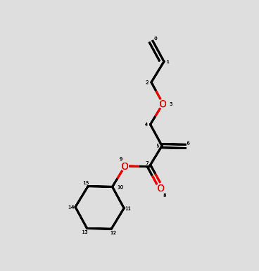 C=CCOCC(=C)C(=O)OC1CCCCC1